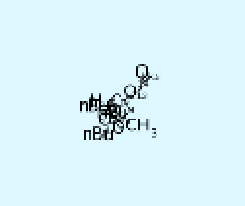 CCCCO[Si](OCCCC)(OCCCC)C(C)CC(C)OCC1CO1